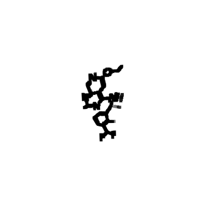 CCOc1cc2c(N[C@H](C)c3cccc(C(F)F)c3C)nc(C)nc2cn1